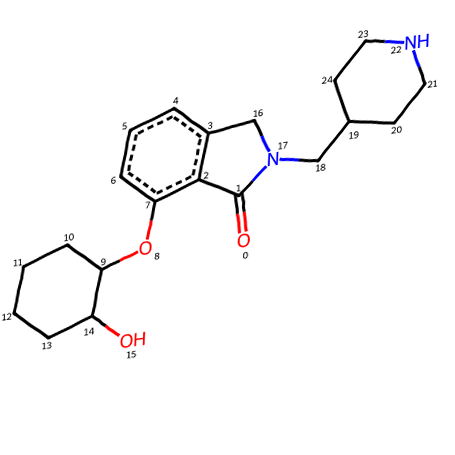 O=C1c2c(cccc2OC2CCCCC2O)CN1CC1CCNCC1